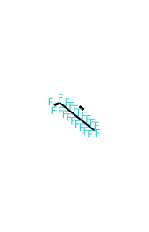 C=C.FC(F)=C(F)C(F)(F)C(F)(F)C(F)(F)C(F)(F)C(F)(F)C(F)(F)C(F)(F)C(F)(F)F